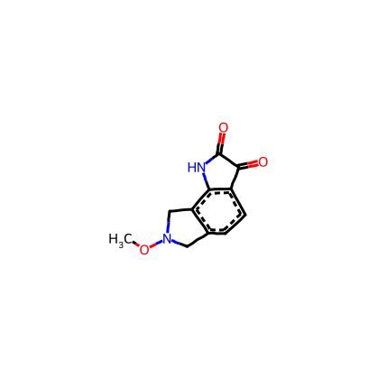 CON1Cc2ccc3c(c2C1)NC(=O)C3=O